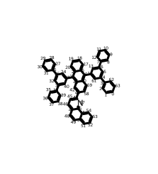 c1ccc(-c2cc(-c3ccccc3)cc(-c3c4ccccc4c(-c4cc(-c5ccccc5)cc(-c5ccccc5)c4)c4cc(-c5ccc6ccc7ccccc7c6n5)ccc34)c2)cc1